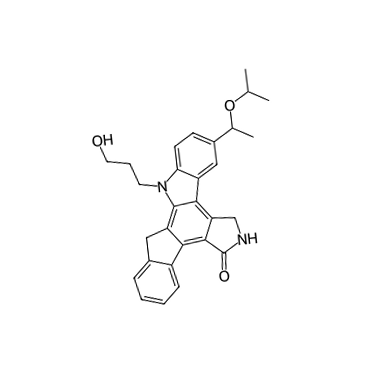 CC(C)OC(C)c1ccc2c(c1)c1c3c(c4c(c1n2CCCO)Cc1ccccc1-4)C(=O)NC3